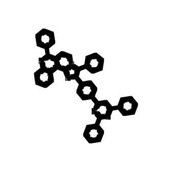 c1ccc(-c2cc(-c3ccc(-c4nc5c6c(ccn5c4-c4ccccc4)c(-c4ccccc4)nc4ccccc46)cc3)nc(-c3ccccc3)n2)cc1